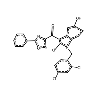 O=C(c1noc(-c2ccccc2)n1)c1c(Cl)n(Cc2ccc(Cl)cc2Cl)c2ccc(O)cc12